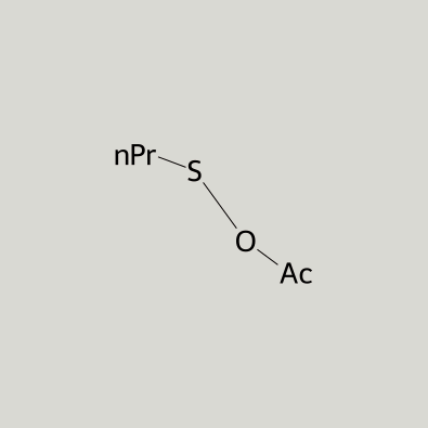 CCCSOC(C)=O